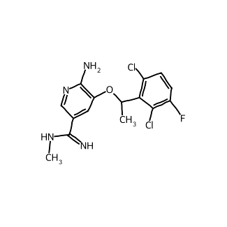 CNC(=N)c1cnc(N)c(OC(C)c2c(Cl)ccc(F)c2Cl)c1